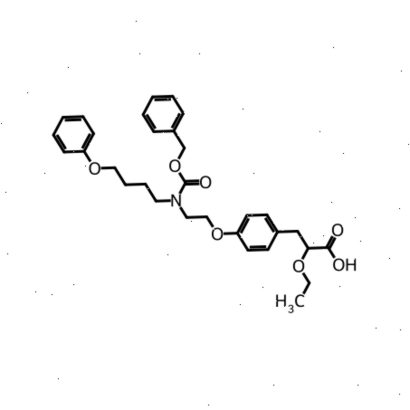 CCOC(Cc1ccc(OCCN(CCCCOc2ccccc2)C(=O)OCc2ccccc2)cc1)C(=O)O